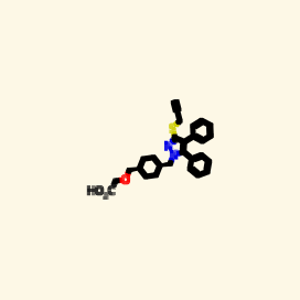 C#CCSc1nn(C[C@H]2CC[C@@H](COCC(=O)O)CC2)c(-c2ccccc2)c1-c1ccccc1